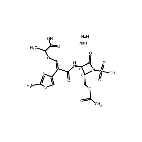 CC(=O)OC[C@H]1[C@@H](NC(=O)/C(=N/OC(C)C(=O)O)c2csc(N)n2)C(=O)N1S(=O)(=O)O.[NaH].[NaH]